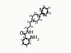 Nc1ccccc1C(=O)NCCCN1CCN(c2ncccn2)CC1